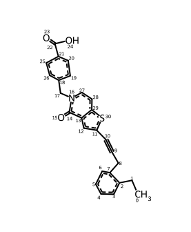 CCc1ccccc1CC#Cc1cc2c(=O)n(Cc3ccc(C(=O)O)cc3)ccc2s1